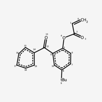 C=CC(=O)Oc1ccc(C(C)(C)C)cc1C(=O)c1ccccc1